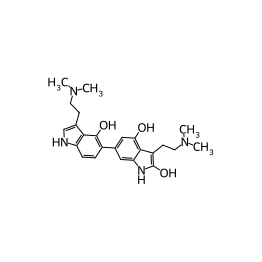 CN(C)CCc1c[nH]c2ccc(-c3cc(O)c4c(CCN(C)C)c(O)[nH]c4c3)c(O)c12